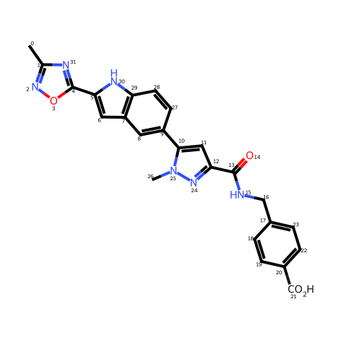 Cc1noc(-c2cc3cc(-c4cc(C(=O)NCc5ccc(C(=O)O)cc5)nn4C)ccc3[nH]2)n1